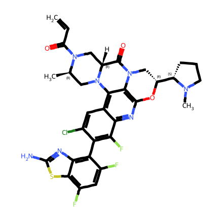 C=CC(=O)N1C[C@@H]2C(=O)N3C[C@H]([C@@H]4CCCN4C)Oc4nc5c(F)c(-c6c(F)cc(F)c7sc(N)nc67)c(Cl)cc5c(c43)N2C[C@H]1C